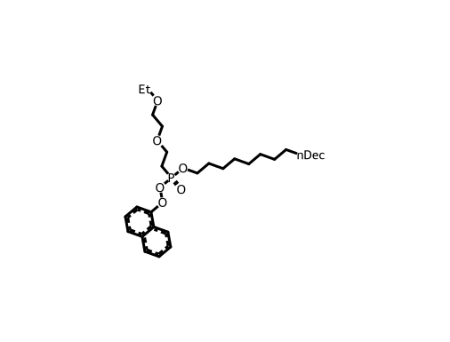 CCCCCCCCCCCCCCCCCCOP(=O)(CCOCCOCC)OOc1cccc2ccccc12